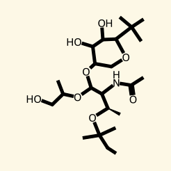 CCC(C)(C)O[C@H](C)C(NC(C)=O)C(OC(C)CO)OC1COC(C(C)(C)C)C(O)C1O